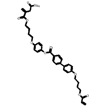 C=CC(=O)OCCCCOc1ccc(-c2ccc(C(=O)Oc3ccc(OCCCCOC(=O)C(=C)CC(=O)OC)cc3)cc2)cc1